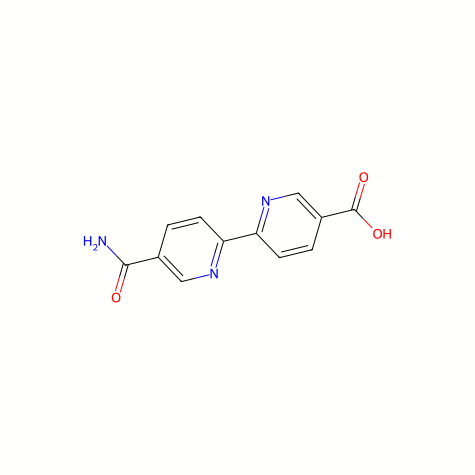 NC(=O)c1ccc(-c2ccc(C(=O)O)cn2)nc1